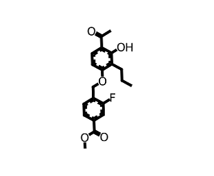 CCCc1c(OCc2ccc(C(=O)OC)cc2F)ccc(C(C)=O)c1O